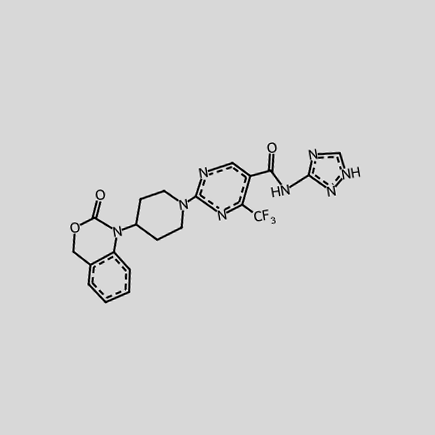 O=C(Nc1nc[nH]n1)c1cnc(N2CCC(N3C(=O)OCc4ccccc43)CC2)nc1C(F)(F)F